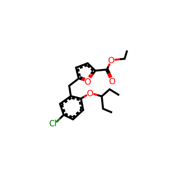 CCOC(=O)c1ccc(Cc2cc(Cl)ccc2OC(CC)CC)o1